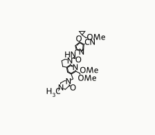 COCC1(Oc2cc(NC(=O)N3CCCc4cc(CN5CCN(C)CC5=O)c(C(OC)OC)nc43)ncc2C#N)CC1